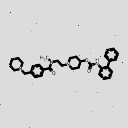 CN(CCN1CCC(OC(=O)Nc2ccccc2-c2ccccc2)CC1)C(=O)c1ccc(CN2CCCCC2)cc1